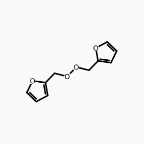 c1coc(COOCc2ccco2)c1